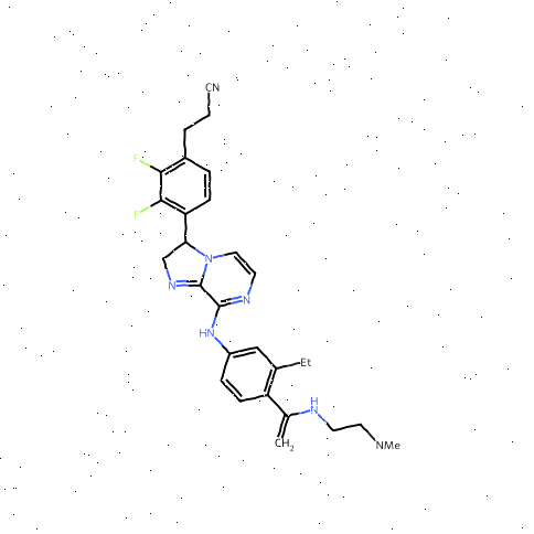 C=C(NCCNC)c1ccc(NC2=NC=CN3C2=NCC3c2ccc(CCC#N)c(F)c2F)cc1CC